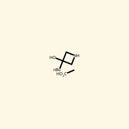 CC(=O)O.CCCCC1(O)CNC1